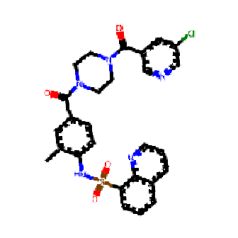 Cc1cc(C(=O)N2CCN(C(=O)c3cncc(Cl)c3)CC2)ccc1NS(=O)(=O)c1cccc2cccnc12